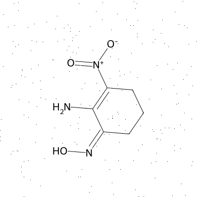 NC1=C([N+](=O)[O-])CCC/C1=N/O